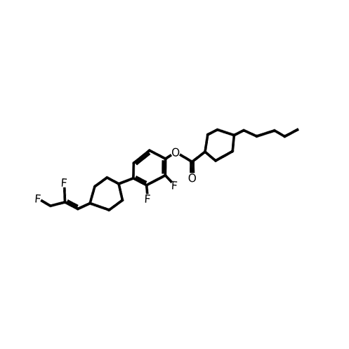 CCCCCC1CCC(C(=O)Oc2ccc(C3CCC(/C=C(\F)CF)CC3)c(F)c2F)CC1